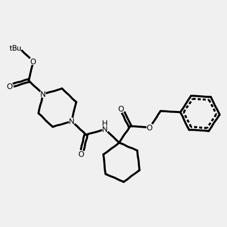 CC(C)(C)OC(=O)N1CCN(C(=O)NC2(C(=O)OCc3ccccc3)CCCCC2)CC1